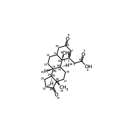 C[C@]12C([CH]C(=O)O)=CC(=O)CC1CC[C@@H]1[C@@H]2CC[C@]2(C)C(=O)CC[C@@H]12